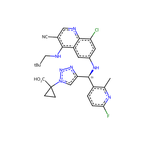 Cc1nc(F)ccc1[C@H](Nc1cc(Cl)c2ncc(C#N)c(NCC(C)(C)C)c2c1)c1cn(C2(C(=O)O)CC2)nn1